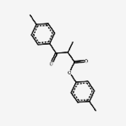 Cc1ccc(OC(=O)C(C)C(=O)c2ccc(C)cc2)cc1